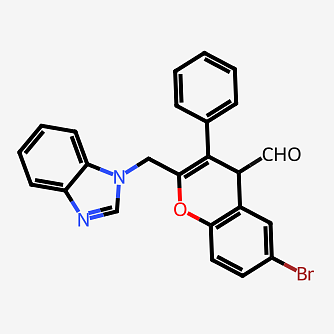 O=CC1C(c2ccccc2)=C(Cn2cnc3ccccc32)Oc2ccc(Br)cc21